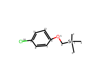 [CH3][Sn]([CH3])([CH3])[CH2]Oc1ccc(Cl)cc1